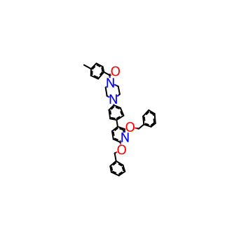 Cc1ccc(C(=O)N2CCN(c3ccc(-c4ccc(OCc5ccccc5)nc4OCc4ccccc4)cc3)CC2)cc1